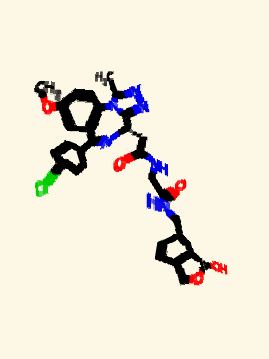 COc1ccc2c(c1)C(c1ccc(Cl)cc1)=N[C@@H](CC(=O)NCC(=O)NCc1ccc3c(c1)B(O)OC3)c1nnc(C)n1-2